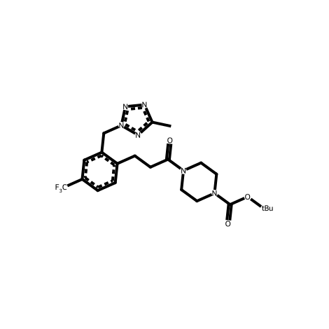 Cc1nnn(Cc2cc(C(F)(F)F)ccc2CCC(=O)N2CCN(C(=O)OC(C)(C)C)CC2)n1